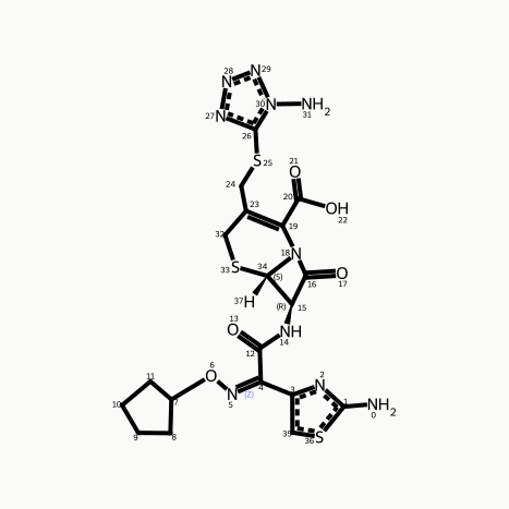 Nc1nc(/C(=N/OC2CCCC2)C(=O)N[C@@H]2C(=O)N3C(C(=O)O)=C(CSc4nnnn4N)CS[C@@H]23)cs1